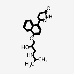 CC(C)NCC(O)COc1ccc(C2=NNC(=O)CC2)c2ccccc12